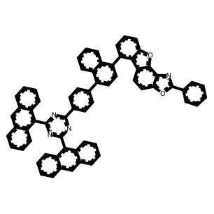 c1ccc(-c2nc3c(ccc4c3oc3cccc(-c5ccc(-c6ccc(-c7nc(-c8c9ccccc9cc9ccccc89)nc(-c8c9ccccc9cc9ccccc89)n7)cc6)c6ccccc56)c34)o2)cc1